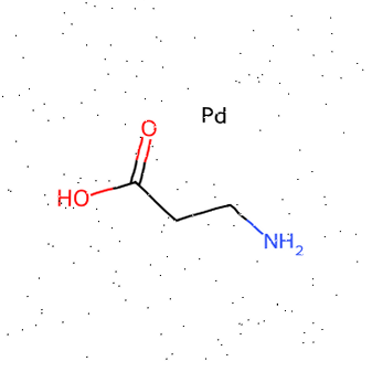 NCCC(=O)O.[Pd]